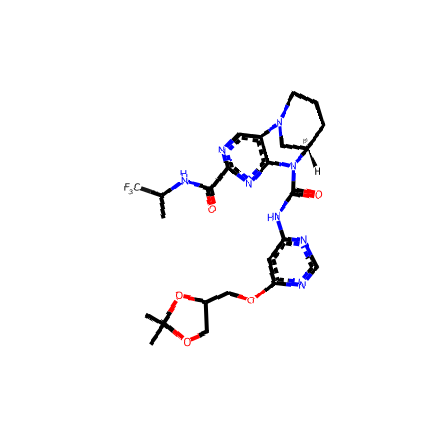 CC(NC(=O)c1ncc2c(n1)N(C(=O)Nc1cc(OCC3COC(C)(C)O3)ncn1)[C@H]1CCCN2C1)C(F)(F)F